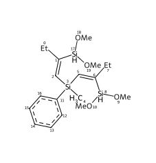 CCC(=C[Si](C)(C=C(CC)[SiH](OC)OC)c1ccccc1)[SiH](OC)OC